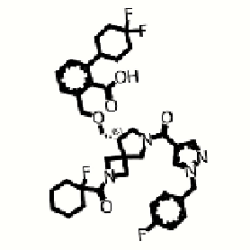 O=C(O)c1c(COC[C@@H]2CN(C(=O)c3cnn(Cc4ccc(F)cc4)c3)CC23CN(C(=O)C2(F)CCCCC2)C3)cccc1C1CCC(F)(F)CC1